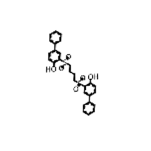 O=S(=O)(CCCCS(=O)(=O)c1cc(-c2ccccc2)ccc1O)c1cc(-c2ccccc2)ccc1O